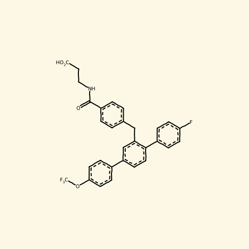 O=C(O)CCNC(=O)c1ccc(Cc2cc(-c3ccc(OC(F)(F)F)cc3)ccc2-c2ccc(F)cc2)cc1